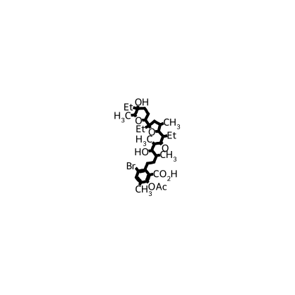 CCC(C(=O)C(C)C(O)C(C)CCc1c(Br)cc(C)c(OC(C)=O)c1C(=O)O)C1OC(CC)(C2CCC(O)(CC)C(C)O2)CC1C